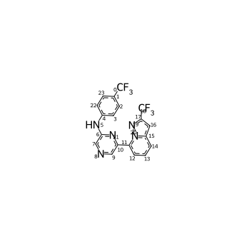 FC(F)(F)c1ccc(Nc2cncc(-c3cccc4cc(C(F)(F)F)nn34)n2)cc1